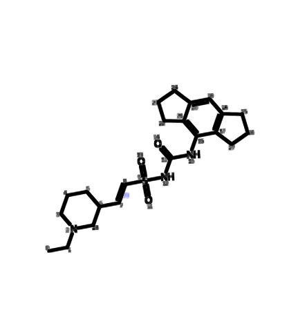 CCN1CCCC(/C=C/S(=O)(=O)NC(=O)Nc2c3c(cc4c2CCC4)CCC3)C1